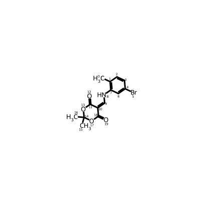 Cc1ccc(Br)cc1NC=C1C(=O)OC(C)(C)OC1=O